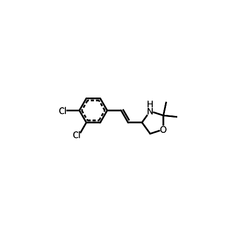 CC1(C)NC(C=Cc2ccc(Cl)c(Cl)c2)CO1